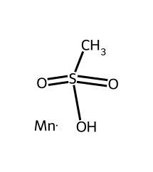 CS(=O)(=O)O.[Mn]